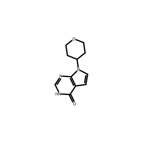 O=c1[nH]cnc2c1ccn2C1CCOCC1